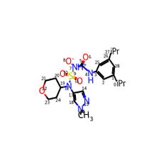 CC(C)c1cc(NC(=O)[NH+]([O-])S(=O)(=O)N(c2cnn(C)c2)C2CCOCC2)cc(C(C)C)c1